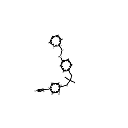 CC(C)(Cc1ccc(OCc2ccccn2)cc1)Cc1ccc(C#N)cn1